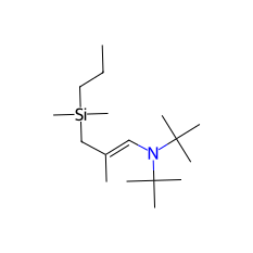 CCC[Si](C)(C)CC(C)=CN(C(C)(C)C)C(C)(C)C